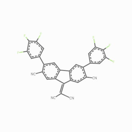 N#CC(C#N)=C1c2cc(C#N)c(-c3cc(F)c(F)c(F)c3)cc2-c2cc(-c3cc(F)c(F)c(F)c3)c(C#N)cc21